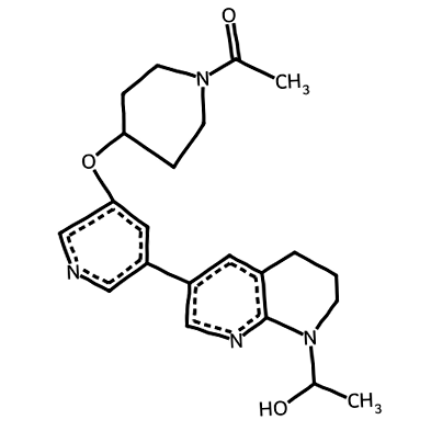 CC(=O)N1CCC(Oc2cncc(-c3cnc4c(c3)CCCN4C(C)O)c2)CC1